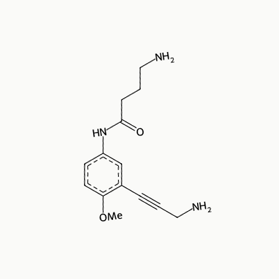 COc1ccc(NC(=O)CCCN)cc1C#CCN